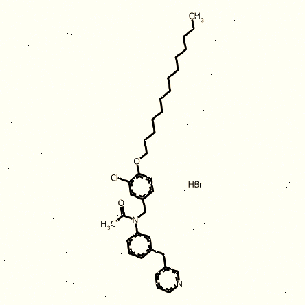 Br.CCCCCCCCCCCCCCOc1ccc(CN(C(C)=O)c2cccc(Cc3cccnc3)c2)cc1Cl